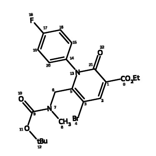 CCOC(=O)c1cc(Br)c(CN(C)C(=O)OC(C)(C)C)n(-c2ccc(F)cc2)c1=O